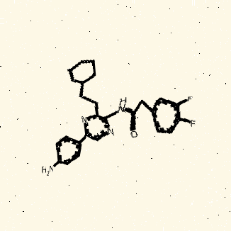 Nc1ccc(-c2cnc(NC(=O)Cc3ccc(F)c(F)c3)c(CCC3CCCCC3)n2)cc1